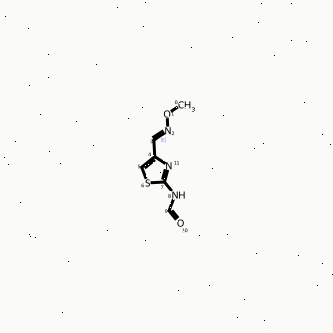 CO/N=[C]/c1csc(NC=O)n1